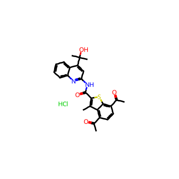 CC(=O)c1ccc(C(C)=O)c2c(C)c(C(=O)Nc3cc(C(C)(C)O)c4ccccc4n3)sc12.Cl